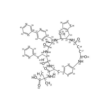 CC(C)(NC(=O)[C@@H]1Cc2ccc(cc2)NC(=O)CCC(=O)N[C@H](Cc2cccs2)C(=O)N[C@@H](Cc2ccc(-c3ccccc3)cc2)C(=O)N[C@H](CCc2ccccc2)C(=O)N1)C(=O)O